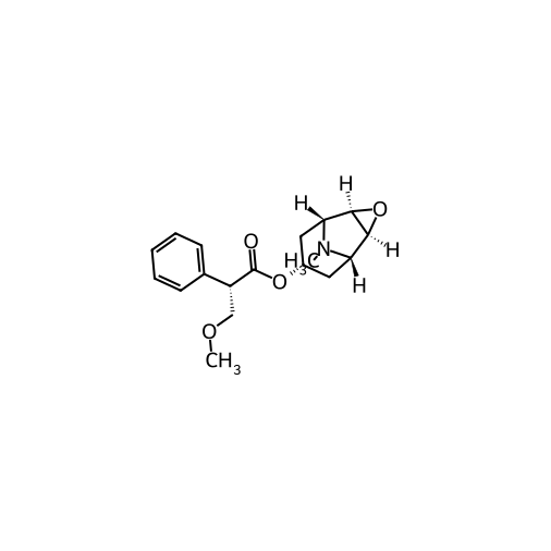 COC[C@@H](C(=O)O[C@@H]1C[C@@H]2[C@H]3O[C@H]3[C@H](C1)N2C)c1ccccc1